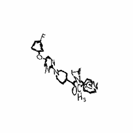 CC1(NC(=O)C2CCN(c3ncc(Oc4ccc(F)cc4)cn3)CC2)CCN2CCC1CC2